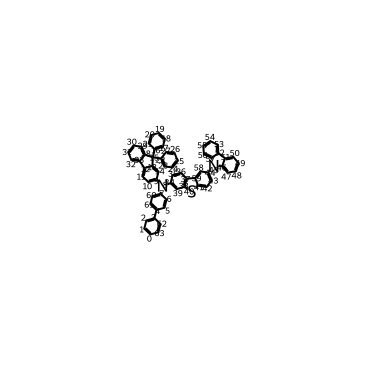 c1ccc(-c2ccc(N(c3ccc4c(c3)C(c3ccccc3)(c3ccccc3)c3ccccc3-4)c3ccc4c(c3)sc3ccc(-n5c6ccccc6c6ccccc65)cc34)cc2)cc1